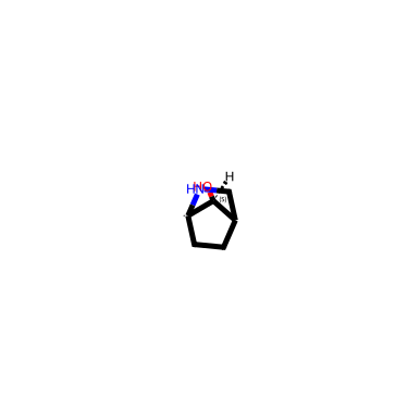 O[C@@H]1[C]2CCC1CN2